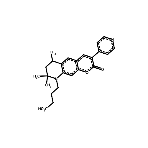 CC1CC(C)(C)N(CCCC(=O)O)c2cc3oc(=O)c(-c4ccncc4)cc3cc21